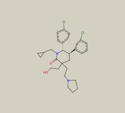 O=C1N(CC2CC2)[C@H](c2ccc(Cl)cc2)[C@@H](c2cccc(Cl)c2)CC1(CCO)CCN1CCCC1